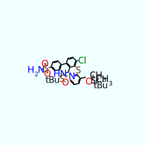 CC(C)(C)[S+]([O-])NCc1c(-c2ccc(S(N)(=O)=O)cc2)ccc(Cl)c1Sc1ncccc1CO[Si](C)(C)C(C)(C)C